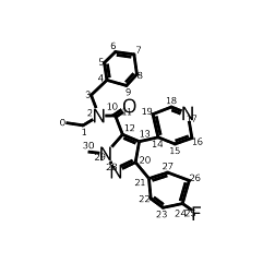 CCN(Cc1ccccc1)C(=O)c1c(-c2ccncc2)c(-c2ccc(F)cc2)nn1C